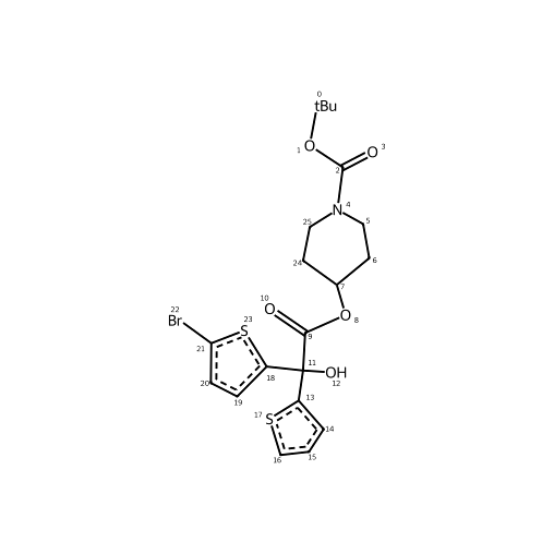 CC(C)(C)OC(=O)N1CCC(OC(=O)C(O)(c2cccs2)c2ccc(Br)s2)CC1